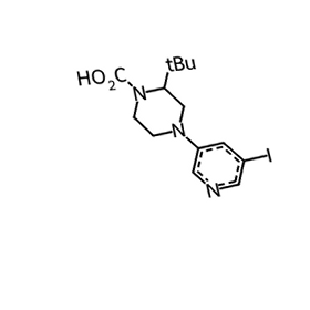 CC(C)(C)C1CN(c2cncc(I)c2)CCN1C(=O)O